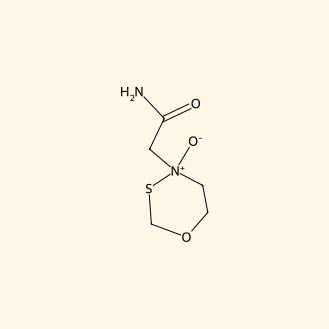 NC(=O)C[N+]1([O-])CCOCS1